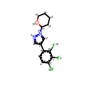 Fc1c(Br)ccc(-c2cnn(C3CCCCO3)c2)c1F